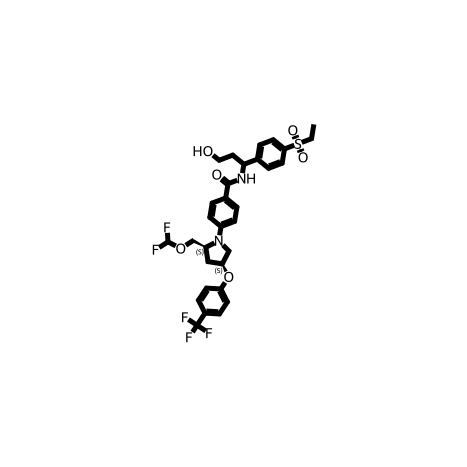 CCS(=O)(=O)c1ccc(C(CCO)NC(=O)c2ccc(N3C[C@@H](Oc4ccc(C(F)(F)F)cc4)C[C@H]3COC(F)F)cc2)cc1